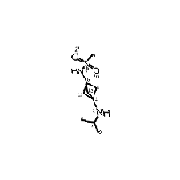 CC(C)NC12CC(NS(C)(=O)=O)(C1)C2